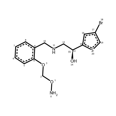 NOCOc1ccccc1CNC[C@H](O)c1cc(Br)cs1